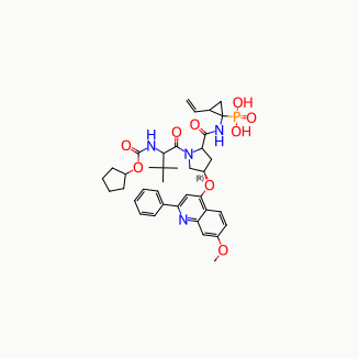 C=CC1CC1(NC(=O)C1C[C@@H](Oc2cc(-c3ccccc3)nc3cc(OC)ccc23)CN1C(=O)C(NC(=O)OC1CCCC1)C(C)(C)C)P(=O)(O)O